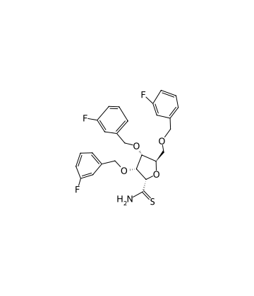 NC(=S)[C@H]1O[C@H](COCc2cccc(F)c2)[C@@H](OCc2cccc(F)c2)[C@H]1OCc1cccc(F)c1